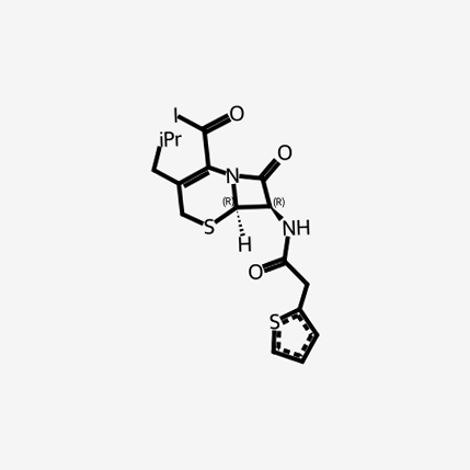 CC(C)CC1=C(C(=O)I)N2C(=O)[C@@H](NC(=O)Cc3cccs3)[C@H]2SC1